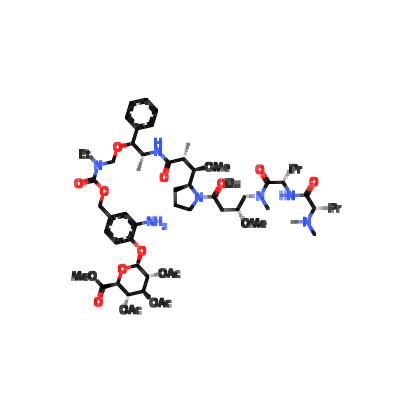 CC[C@H](C)[C@@H]([C@@H](CC(=O)N1CCC[C@H]1[C@H](OC)[C@@H](C)C(=O)N[C@H](C)[C@@H](OCN(CC)C(=O)OCc1ccc(O[C@@H]2O[C@H](C(=O)OC)[C@@H](OC(C)=O)[C@H](OC(C)=O)[C@H]2OC(C)=O)c(N)c1)c1ccccc1)OC)N(C)C(=O)[C@@H](NC(=O)[C@H](C(C)C)N(C)C)C(C)C